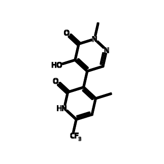 Cc1cc(C(F)(F)F)[nH]c(=O)c1-c1cnn(C)c(=O)c1O